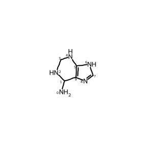 NC1NCNc2[nH]cnc21